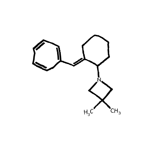 CC1(C)CN(C2CCCCC2=Cc2ccccc2)C1